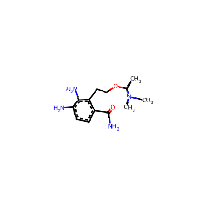 CC(OCCc1c(C(N)=O)ccc(N)c1N)N(C)C